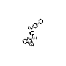 O=C(c1ccc(Nc2nc3ccccc3n3nnnc23)cc1)N1CCN(c2ccccc2)CC1